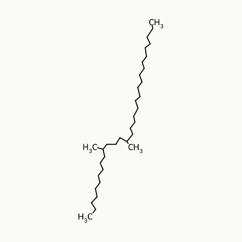 CCCCCCCCCCCCCCCCCCC(C)CCCC(C)CCCCCCCCCC